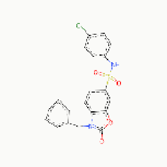 O=c1oc2cc(S(=O)(=O)Nc3ccc(Cl)cc3)ccc2n1Cc1ccccc1